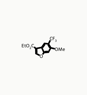 CCOC(=O)c1coc2cc(OC)c(C(F)(F)F)cc12